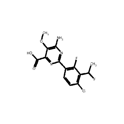 COc1c(N)nc(-c2ccc(Cl)c(C(C)F)c2F)nc1C(=O)O